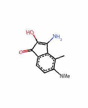 CNc1ccc2c(c1C)C(N)=C(O)C2=O